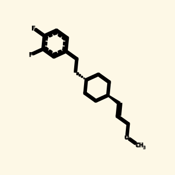 COCC=C[C@H]1CC[C@H](CCc2ccc(F)c(F)c2)CC1